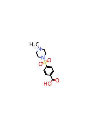 CN1CCN(S(=O)(=O)c2ccc(C(=O)O)cc2)CC1